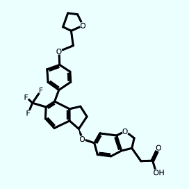 O=C(O)CC1COc2cc(O[C@@H]3CCc4c3ccc(C(F)(F)F)c4-c3ccc(OCC4CCCO4)cc3)ccc21